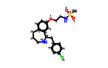 CCS(=O)(=O)NCCOc1ccc2c(c1)C(Cc1ccc(Cl)cc1)NCCC2